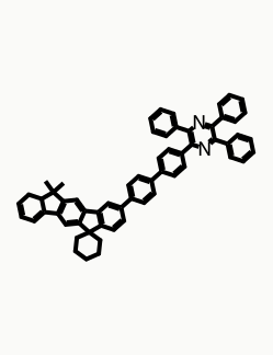 CC1(C)c2cc3c(cc2C2=CC=CCC21)C1(CCCCC1)c1ccc(-c2ccc(-c4ccc(-c5nc(-c6ccccc6)c(-c6ccccc6)nc5-c5ccccc5)cc4)cc2)cc1-3